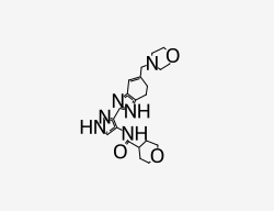 O=C(Nc1c[nH]nc1-c1nc2c([nH]1)CCC(CN1CCOCC1)=C2)C1CCOCC1